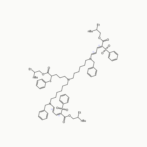 CCCCC(CC)COC(=O)/C(=C/C=C/N(CCCCCCN(CCCCCCN(/C=C/C=C(/C(=O)OCC(CC)CCCC)S(=O)(=O)c1ccccc1)Cc1ccccc1)CCCC(Sc1ccccc1)C(=O)OCC(CC)CCCC)Cc1ccccc1)S(=O)(=O)c1ccccc1